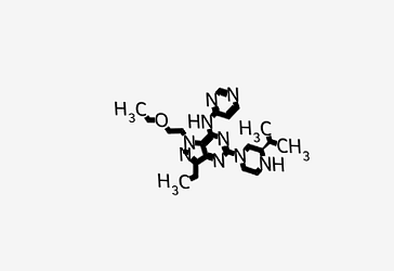 CCOCCn1nc(CC)c2nc(N3CCN[C@H](C(C)C)C3)nc(Nc3ccncn3)c21